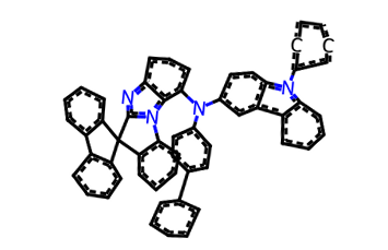 c1ccc(-c2ccc(N(c3ccc4c(c3)c3ccccc3n4-c3ccccc3)c3cccc4nc5n(c34)-c3ccccc3C53c4ccccc4-c4ccccc43)cc2)cc1